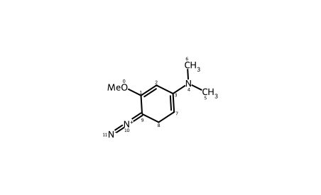 COC1=CC(N(C)C)=CCC1=[N+]=[N-]